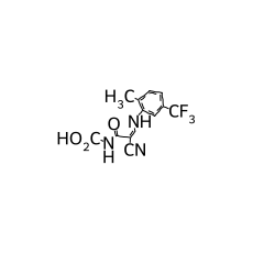 Cc1ccc(C(F)(F)F)cc1NC=C(C#N)C(=O)NC(=O)O